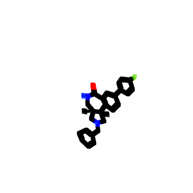 O=C1NC[C@@H]2CN(Cc3ccccc3)C[C@H]2c2ccc(-c3ccc(F)cc3)cc21